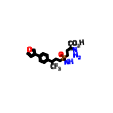 N=S(=O)(CCC(c1ccc(-c2ccoc2)cc1)C(F)(F)F)CC[C@H](N)C(=O)O